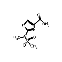 CN(c1nc(C(N)=O)co1)S(C)(=O)=O